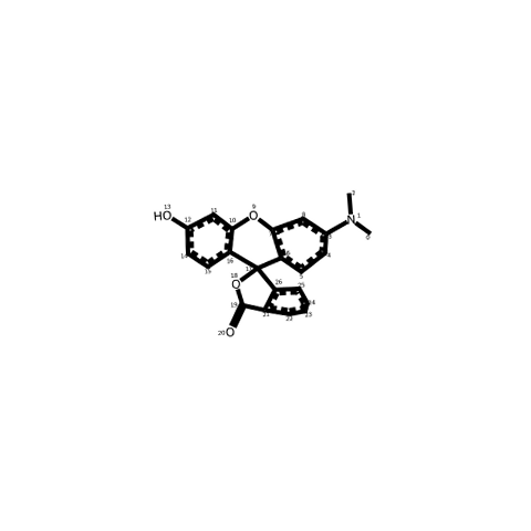 CN(C)c1ccc2c(c1)Oc1cc(O)ccc1C21OC(=O)c2ccccc21